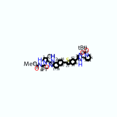 C=C1CCN(C(=O)[C@@H](NC(=O)OC)C(C)C)[C@@H]1c1nc2ccc3cc(-c4cc5ccc(-c6cnc([C@@H]7C#CCCN7C(=O)OC(C)(C)C)[nH]6)cc5s4)ccc3c2[nH]1